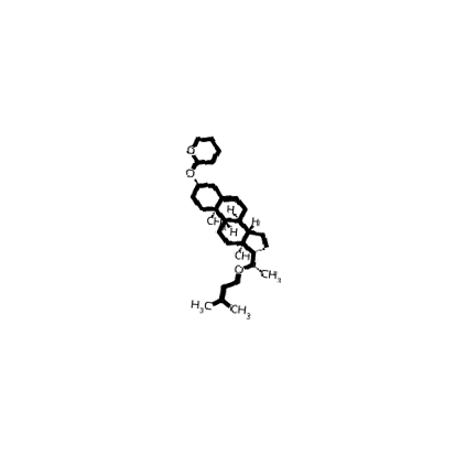 CC(C)CCO[C@@H](C)[C@H]1CC[C@H]2[C@@H]3CC=C4C[C@@H](OC5CCCCO5)CC[C@]4(C)[C@H]3CC[C@]12C